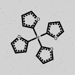 c1coc([N+](c2ccco2)(c2ccco2)c2ccco2)c1